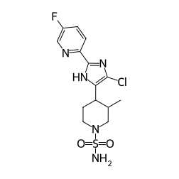 CC1CN(S(N)(=O)=O)CCC1c1[nH]c(-c2ccc(F)cn2)nc1Cl